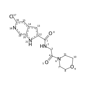 O=C(NCC(=O)N1CCOCC1)c1cc2cc(Cl)ncc2[nH]1